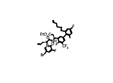 C=CCCCCc1cc(F)cc(C)c1-c1cc([C@H](CC(=O)OCC)NC(=O)[C@H](CC=C)n2cc(Br)cc(F)c2=O)c(F)c(C(F)(F)F)c1